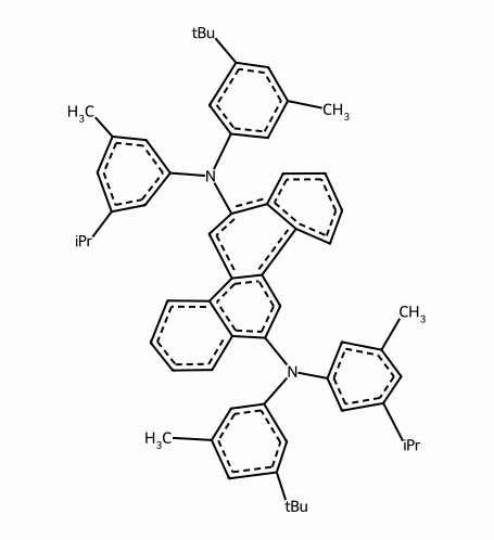 Cc1cc(C(C)C)cc(N(c2cc(C)cc(C(C)(C)C)c2)c2cc3c4ccccc4c(N(c4cc(C)cc(C(C)C)c4)c4cc(C)cc(C(C)(C)C)c4)cc3c3ccccc23)c1